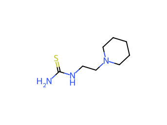 NC(=S)NCCN1CCCCC1